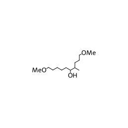 COCCCCCC(O)C(C)CCCOC